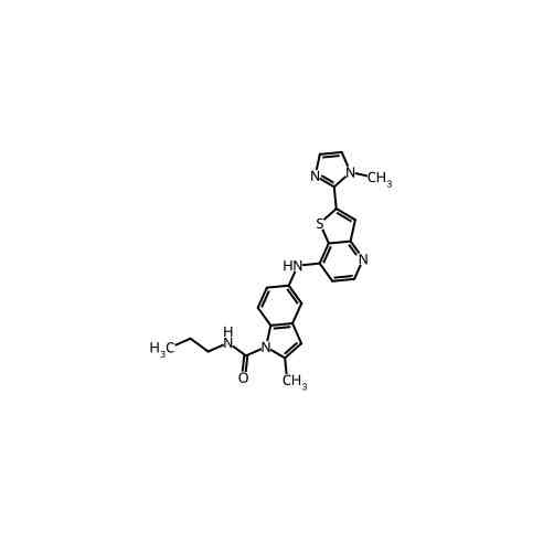 CCCNC(=O)n1c(C)cc2cc(Nc3ccnc4cc(-c5nccn5C)sc34)ccc21